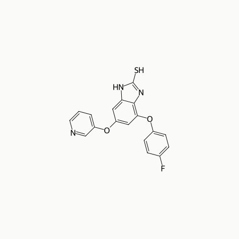 Fc1ccc(Oc2cc(Oc3cccnc3)cc3[nH]c(S)nc23)cc1